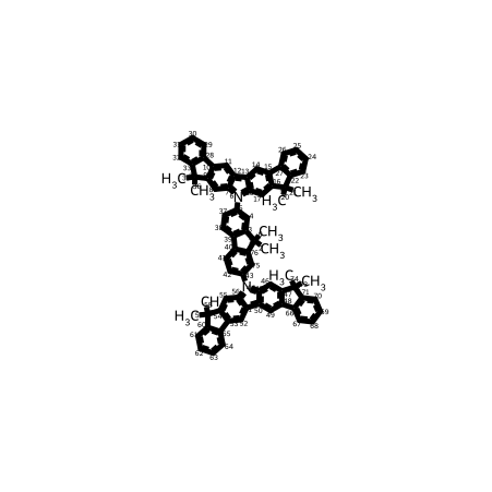 CC1(C)c2cc(-n3c4cc5c(cc4c4cc6c(cc43)C(C)(C)c3ccccc3-6)-c3ccccc3C5(C)C)ccc2-c2ccc(-n3c4cc5c(cc4c4cc6c(cc43)C(C)(C)c3ccccc3-6)-c3ccccc3C5(C)C)cc21